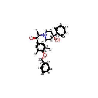 Cc1cc(C(=O)C(C)N2CCC(O)(c3ccccc3)CC2)cc(C)c1OCc1ccccc1